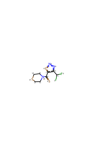 FC(F)c1nnsc1C(=S)N1CCSCC1